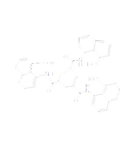 O=C(Nc1cccc2cccc(S(=O)(=O)O)c12)c1cc(C(=O)Nc2cccc3cccc(S(=O)(=O)O)c23)cc(C(=O)Nc2cccc3cccc(S(=O)(=O)O)c23)c1